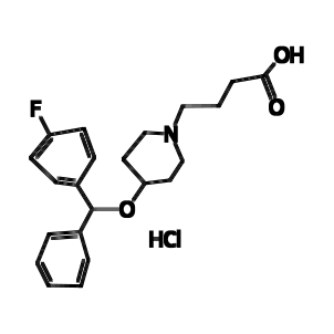 Cl.O=C(O)CCCN1CCC(OC(c2ccccc2)c2ccc(F)cc2)CC1